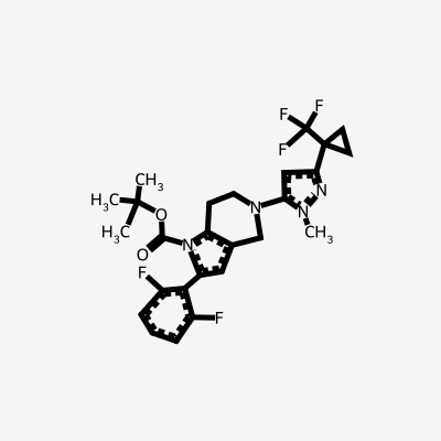 Cn1nc(C2(C(F)(F)F)CC2)cc1N1CCc2c(cc(-c3c(F)cccc3F)n2C(=O)OC(C)(C)C)C1